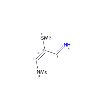 CN/C=C(\C=N)SC